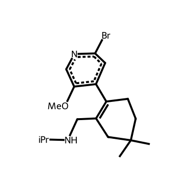 COc1cnc(Br)cc1C1=C(CNC(C)C)CC(C)(C)CC1